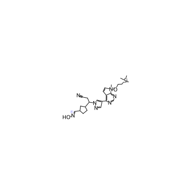 C[N+]1(OCC[Si](C)(C)C)C=Cc2c(-c3cnn(C(CC#N)C4CCC(/C=N/O)C4)c3)ncnc21